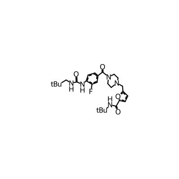 CC(C)(C)CNC(=O)Nc1ccc(C(=O)N2CCN(Cc3ccc(C(=O)NC(C)(C)C)o3)CC2)cc1F